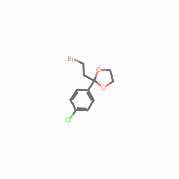 Clc1ccc(C2(CCBr)OCCO2)cc1